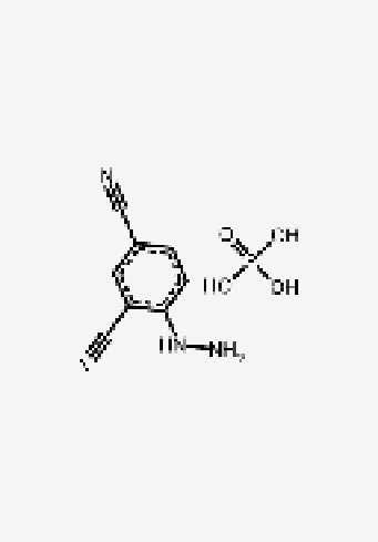 N#Cc1ccc(NN)c(C#N)c1.O=P(O)(O)O